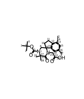 CC(C)(C)OC(=O)N1CC2(CCc3c(F)cc(F)cc32)N(CC(=O)O)C(=O)C1(C)C